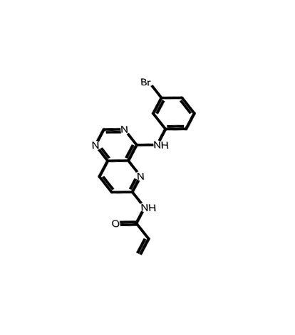 C=CC(=O)Nc1ccc2ncnc(Nc3cccc(Br)c3)c2n1